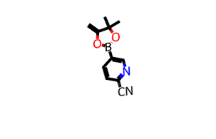 C=C1OB(c2ccc(C#N)nc2)OC1(C)C